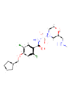 CNCC1CN(S(=O)(=O)NC(=O)c2cc(Cl)c(OCC3CCCC3)cc2F)CCO1